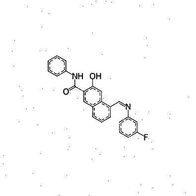 O=C(Nc1ccccc1)c1cc2cccc(/C=N\c3cccc(F)c3)c2cc1O